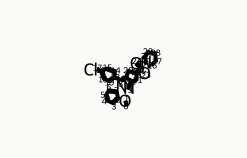 COc1ccccc1-n1nc2c(c1-c1ccc(Cl)cc1)CC(S(=O)(=O)N1CCCCC1)C2